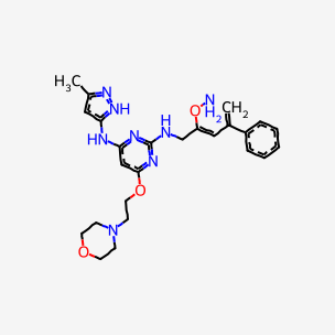 C=C(/C=C(/CNc1nc(Nc2cc(C)n[nH]2)cc(OCCN2CCOCC2)n1)ON)c1ccccc1